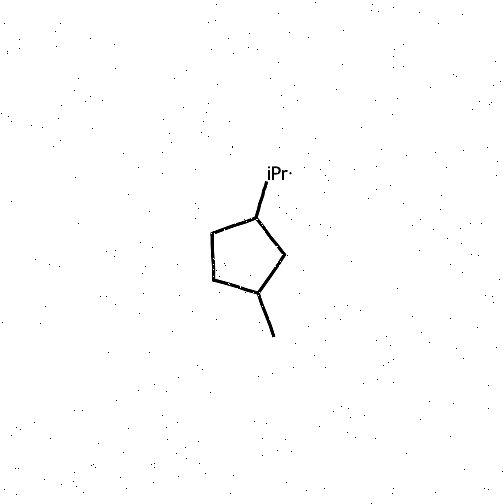 C[C](C)C1CCC(C)C1